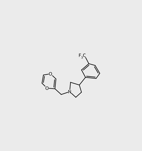 FC(F)(F)c1cccc(C2CCN(CC3=COC=CO3)C2)c1